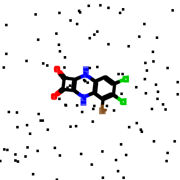 O=c1c2c(c1=O)Nc1c(cc(Cl)c(Cl)c1Br)N2